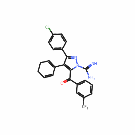 N=C(N)n1nc(-c2ccc(Cl)cc2)c(C2=CCCC=C2)c1C(=O)c1cccc(C(F)(F)F)c1